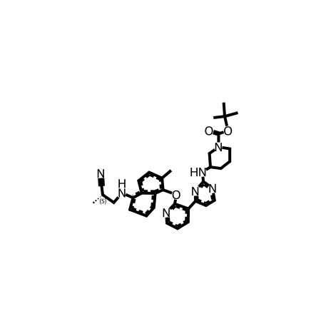 Cc1ccc2c(NC[C@H](C)C#N)cccc2c1Oc1ncccc1-c1ccnc(NC2CCCN(C(=O)OC(C)(C)C)C2)n1